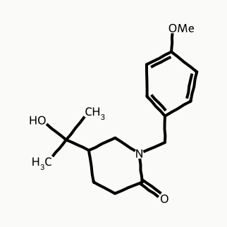 COc1ccc(CN2CC(C(C)(C)O)CCC2=O)cc1